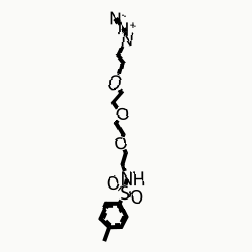 Cc1ccc(S(=O)(=O)NCCOCCOCCOCCN=[N+]=[N-])cc1